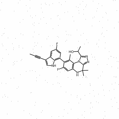 CC#Cc1c[nH]c2c(-c3c(F)cc4c(c3C)-n3c(C(C)O)nnc3C(C)(C)N4)cc(F)cc12